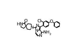 Nc1nccn2c(N3CCC4(CCNC4=O)CC3)nc(-c3ccc(Oc4ccccc4)cc3Cl)c12